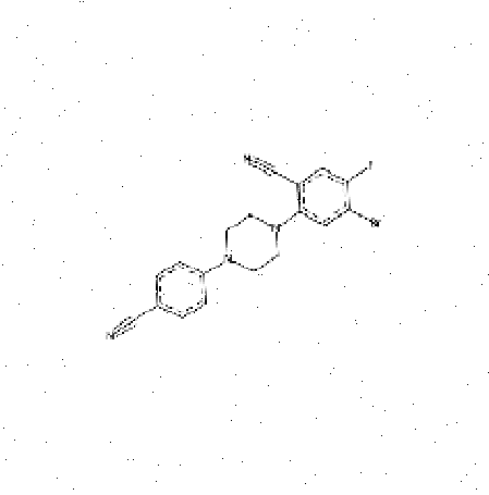 N#Cc1ccc(N2CCN(c3cc(Br)c(F)cc3C#N)CC2)cc1